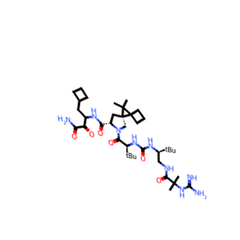 CC(C)(NC(=N)N)C(=O)NC[C@@H](NC(=O)N[C@H](C(=O)N1C[C@]2(C[C@H]1C(=O)NC(CC1CCC1)C(=O)C(N)=O)C(C)(C)C21CCC1)C(C)(C)C)C(C)(C)C